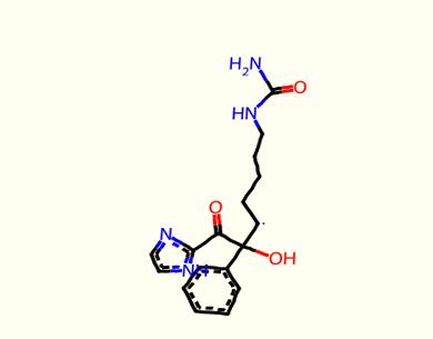 NC(=O)NCCCC[CH]C(O)(C(=O)c1ncc[nH]1)c1ccccc1